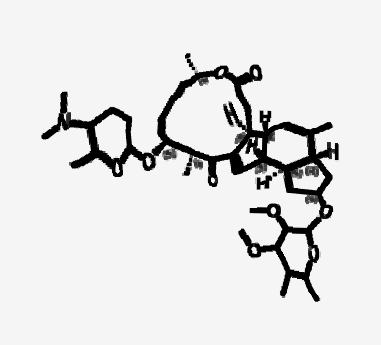 COC1C(O[C@H]2C[C@H]3[C@@H]4C=C5C(=O)[C@H](C)[C@@H](OC6CCC(N(C)C)C(C)O6)CCC[C@H](C)OC(=O)C[C@H]5[C@@H]4C=C(C)[C@@H]3C2)OC(C)C(C)C1OC